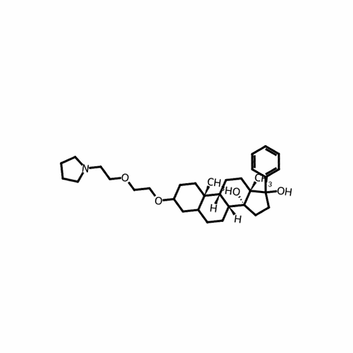 C[C@]12CCC(OCCOCCN3CCCC3)CC1CC[C@@H]1[C@H]2CC[C@]2(C)C(O)(c3ccccc3)CC[C@@]12O